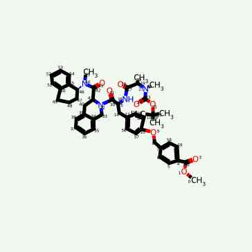 COC(=O)c1ccc(COc2ccc(CC(NC(=O)C(C)N(C)C(=O)OC(C)(C)C)C(=O)N3Cc4ccccc4CC3C(=O)N(C)[C@@H]3CCCc4ccccc43)cc2)cc1